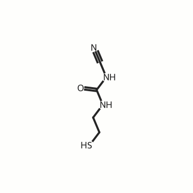 N#CNC(=O)NCCS